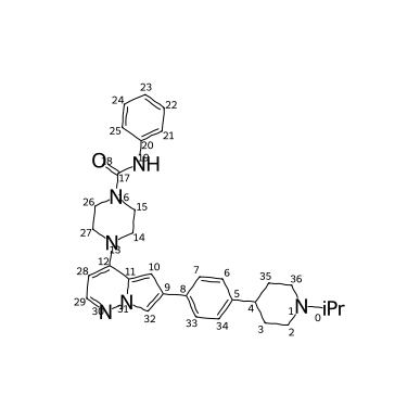 CC(C)N1CCC(c2ccc(-c3cc4c(N5CCN(C(=O)Nc6ccccc6)CC5)ccnn4c3)cc2)CC1